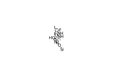 CCC(CC(=O)O)(NC(=O)Nc1c(F)cc(I)cc1F)c1cnn(COCC[Si](C)(C)C)c1